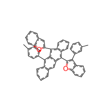 Cc1ccc(-c2c3ccccc3cc3c(-c4oc5ccccc5c4-c4cccc(C)c4)c4ccccc4c(-c4cc5ccccc5o4)c23)cc1